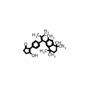 CC(C)=C(c1ccc(C2=C(O)CCC2=O)cc1)c1cc2c(cc1C)C(C)(C)CCC2(C)C